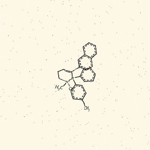 Cc1ccc([B-]2(c3ccccc3)C(c3ccc4ccccc4c3)=CCC[N+]2(C)C)cc1